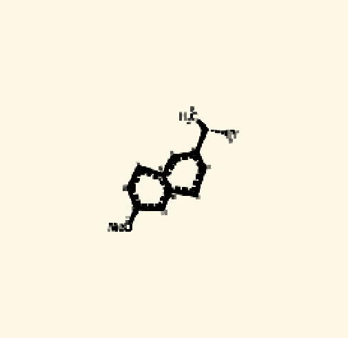 COc1ccc2cc([C@H](C)C(C)C)ccc2c1